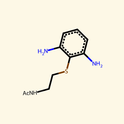 CC(=O)NCCSc1c(N)cccc1N